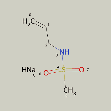 C=CCNS(C)(=O)=O.[NaH]